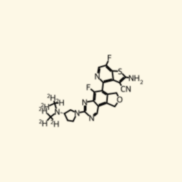 [2H]C([2H])([2H])N([C@H]1CCN(c2ncc3c4c(c(-c5ncc(F)c6sc(N)c(C#N)c56)c(F)c3n2)COC4)C1)C([2H])([2H])[2H]